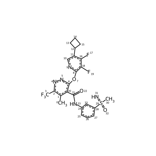 Cc1c(C(F)(F)F)nnc(Oc2ncc(C3CCC3)c(F)c2F)c1C(=O)Nc1cccc(S(C)(=N)=O)c1